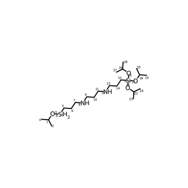 CC(C)O[SiH2]CCCNCCCNCCC[Si](OC(C)C)(OC(C)C)OC(C)C